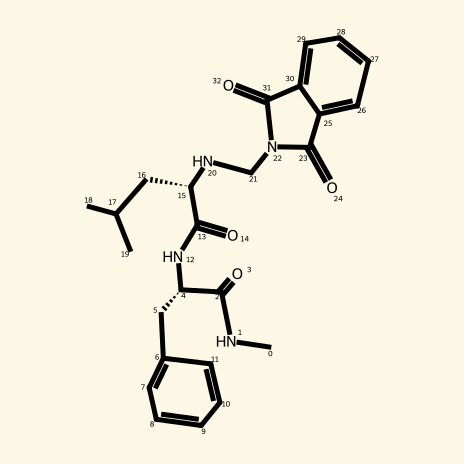 CNC(=O)[C@H](Cc1ccccc1)NC(=O)[C@H](CC(C)C)NCN1C(=O)c2ccccc2C1=O